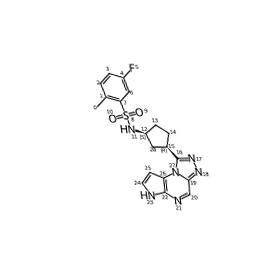 Cc1ccc(F)cc1S(=O)(=O)N[C@H]1CC[C@@H](c2nnc3cnc4[nH]ccc4n23)C1